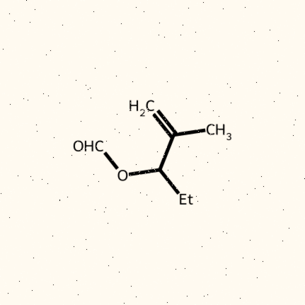 C=C(C)C(CC)OC=O